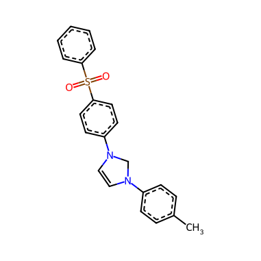 Cc1ccc(N2C=CN(c3ccc(S(=O)(=O)c4ccccc4)cc3)C2)cc1